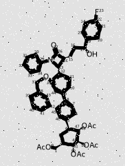 CC(=O)OC[C@H]1C[C@@H](c2ccc(-c3ccc([C@@H]4[C@@H](CC[C@H](O)c5ccc(F)cc5)C(=O)N4c4ccccc4)c(OCc4ccccc4)c3)cc2)[C@H](OC(C)=O)[C@@H](OC(C)=O)[C@@H]1OC(C)=O